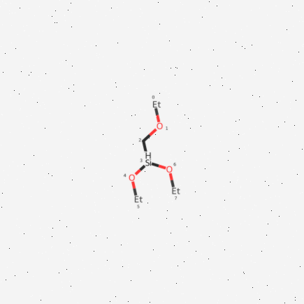 CCOC[SiH](OCC)OCC